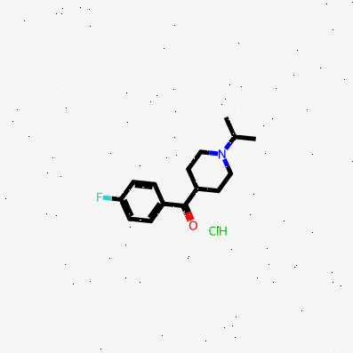 CC(C)N1CCC(C(=O)c2ccc(F)cc2)CC1.Cl